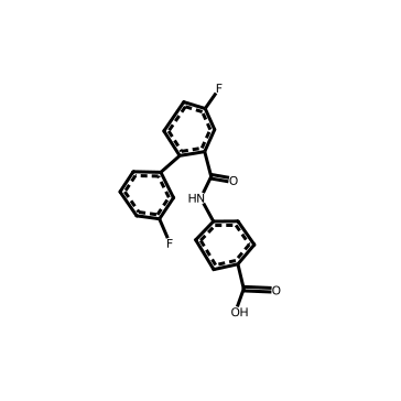 O=C(O)c1ccc(NC(=O)c2cc(F)ccc2-c2cccc(F)c2)cc1